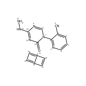 N#Cc1cccnc1-n1cnc(NN)nc1=O.c1cc2ccc1-2